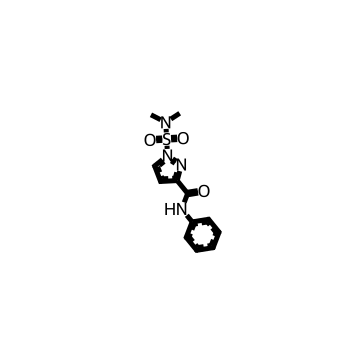 CN(C)S(=O)(=O)n1ccc(C(=O)Nc2ccccc2)n1